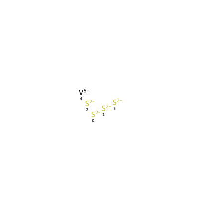 [S-2].[S-2].[S-2].[S-2].[V+5]